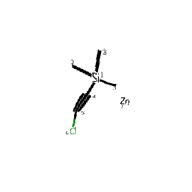 C[Si](C)(C)C#CCl.[Zn]